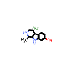 CC1NC=CC2c3ccc(O)cc3NC12.Cl